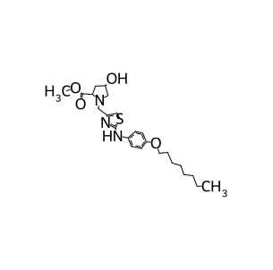 CCCCCCCCOc1ccc(Nc2nc(CN3C[C@H](O)CC3C(=O)OC)cs2)cc1